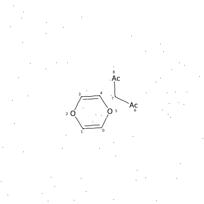 C1=COC=CO1.CC(=O)CC(C)=O